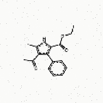 CCOC(=O)c1[nH]c(C)c(C(C)=O)c1-c1ccccc1